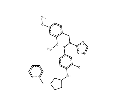 COc1ccc(CN(Sc2ccc(NC3CCN(Cc4ccccc4)C3)c(Cl)c2)c2ncns2)c(OC)c1